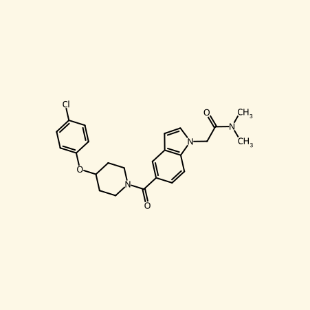 CN(C)C(=O)Cn1ccc2cc(C(=O)N3CCC(Oc4ccc(Cl)cc4)CC3)ccc21